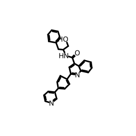 O=C(NC(CO)Cc1ccccc1)c1cc(-c2ccc(-c3cccnc3)cc2)nc2ccccc12